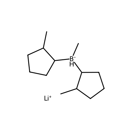 C[BH-](C1CCCC1C)C1CCCC1C.[Li+]